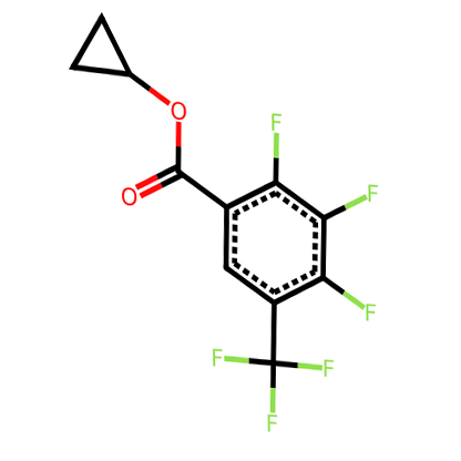 O=C(OC1CC1)c1cc(C(F)(F)F)c(F)c(F)c1F